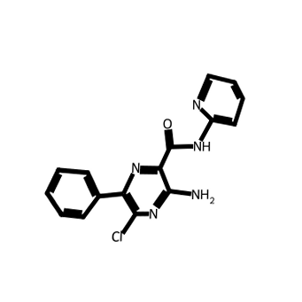 Nc1nc(Cl)c(-c2ccccc2)nc1C(=O)Nc1ccccn1